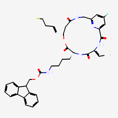 C/C=C1\NC(=O)c2cc(F)cc(n2)CNC(=O)C[C@@H](/C=C/CCS)OC(=O)[C@H](CCCCNC(=O)OCC2c3ccccc3-c3ccccc32)NC1=O